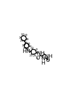 O=C1NCC(C(=O)NC2CCC(Nc3ccc(C4CCCCC4)cc3)CC2)N1